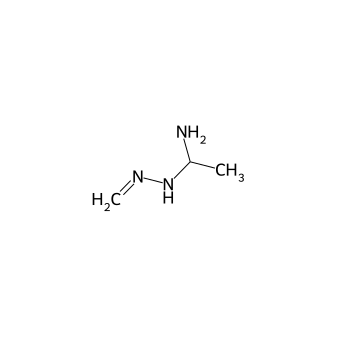 C=NNC(C)N